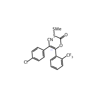 CSSC(=O)O/C(=C(\C#N)c1ccc(Cl)cc1)c1ccccc1C(F)(F)F